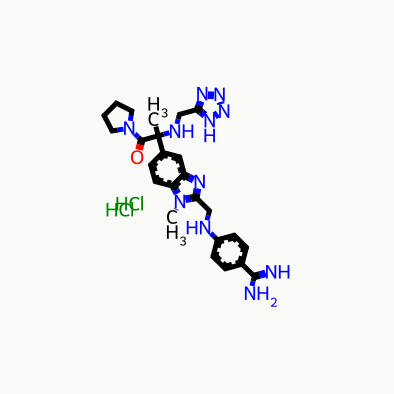 Cl.Cl.Cn1c(CNc2ccc(C(=N)N)cc2)nc2cc(C(C)(NCc3nnn[nH]3)C(=O)N3CCCC3)ccc21